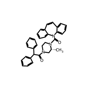 C[C@@H]1CN(C(=O)C(c2ccccc2)c2ccccc2)CCN1C(=O)N1c2ccccc2C=Cc2ccccc21